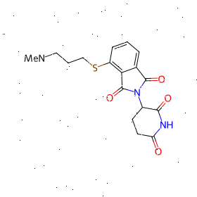 CNCCCSc1cccc2c1C(=O)N(C1CCC(=O)NC1=O)C2=O